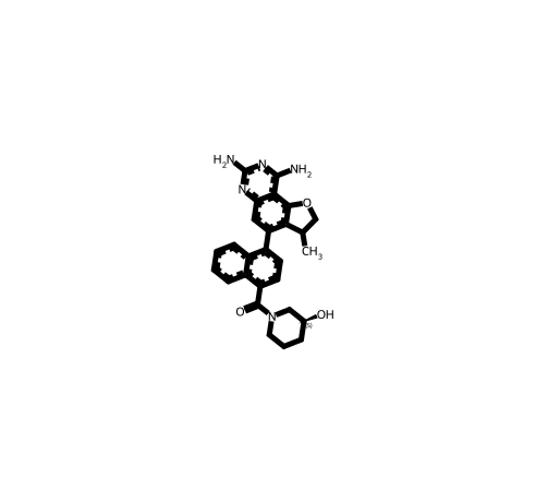 CC1COc2c1c(-c1ccc(C(=O)N3CCC[C@H](O)C3)c3ccccc13)cc1nc(N)nc(N)c21